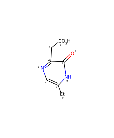 CCc1cnc(CC(=O)O)c(=O)[nH]1